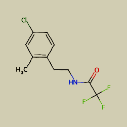 Cc1cc(Cl)ccc1CCNC(=O)C(F)(F)F